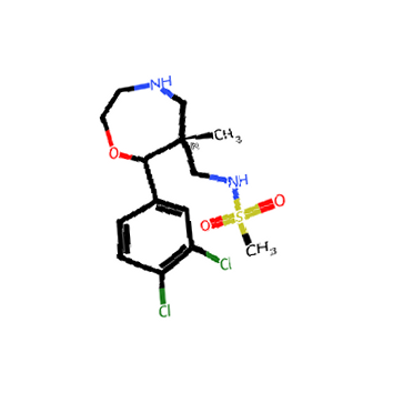 C[C@]1(CNS(C)(=O)=O)CNCCOC1c1ccc(Cl)c(Cl)c1